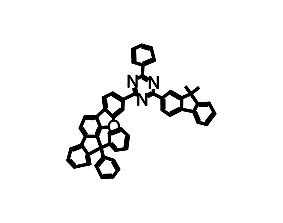 CC1(C)c2ccccc2-c2ccc(-c3nc(-c4ccccc4)nc(-c4ccc5c(c4)oc4c6c(ccc45)-c4ccccc4C6(c4ccccc4)c4ccccc4)n3)cc21